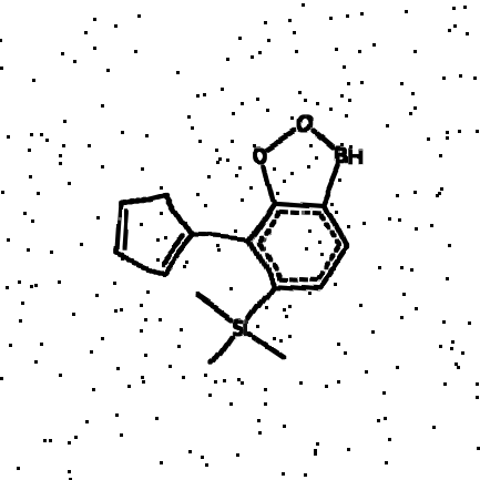 C[Si](C)(C)c1ccc2c(c1C1=CC=CC1)OOB2